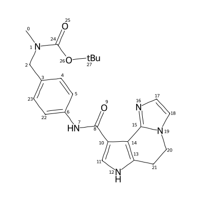 CN(Cc1ccc(NC(=O)c2c[nH]c3c2-c2nccn2CC3)cc1)C(=O)OC(C)(C)C